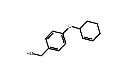 OCc1ccc(OC2C=CCCC2)cc1